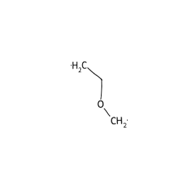 [CH2]CO[CH2]